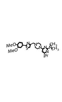 COc1ccc(-c2nc(CN3CCN(c4cc(C(C)C)nc(N(C)C)n4)CC3)cs2)cc1OC